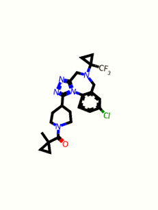 CC1(C(=O)N2CCC(c3nnc4n3-c3ccc(Cl)cc3CN(C3(C(F)(F)F)CC3)C4)CC2)CC1